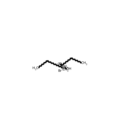 CCCCCCCC/C=C\CCCCCCCC(=O)CC(C[N+](C)(C)CCO)C(=O)CCCCCCC/C=C\CCCCCCCC.[Br-]